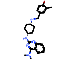 Cc1cc(CN[C@H]2CC[C@@H](Nc3nc(N(C)C)c4ccccc4n3)CC2)ccc1Br